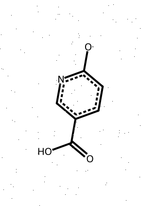 [O]c1ccc(C(=O)O)cn1